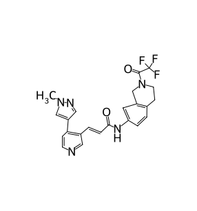 Cn1cc(-c2ccncc2C=CC(=O)Nc2ccc3c(c2)CN(C(=O)C(F)(F)F)CC3)cn1